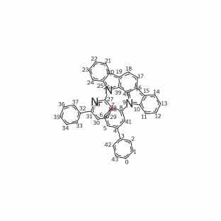 c1ccc(-c2cccc(-n3c4ccccc4c4ccc5c6ccccc6n(-c6cccc(-c7ccccc7)n6)c5c43)c2)cc1